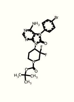 CC(C)(C)OC(=O)N1CC[C@@H](n2c(=O)n(-c3ccc(Br)cc3)c3c(N)ncnc32)C(F)(F)C1